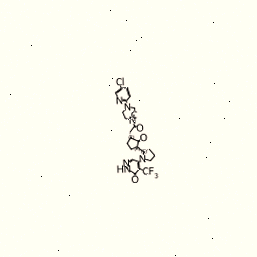 O=C1[C@@H](CC(=O)N2CCN(c3ccc(Cl)cn3)CC2)CC[C@@H]1[C@@H]1CCCN1c1cn[nH]c(=O)c1C(F)(F)F